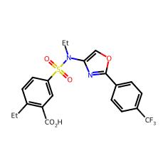 CCc1ccc(S(=O)(=O)N(CC)c2coc(-c3ccc(C(F)(F)F)cc3)n2)cc1C(=O)O